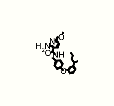 CCCC(C)c1cccc(Oc2ccc(CNC(=O)c3ccc(COC)nc3N)cc2)c1